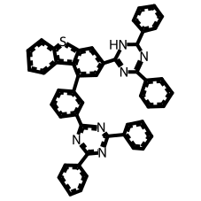 c1ccc(C2=NC(c3ccccc3)NC(c3cc(-c4cccc(-c5nc(-c6ccccc6)nc(-c6ccccc6)n5)c4)c4c(c3)sc3ccccc34)=N2)cc1